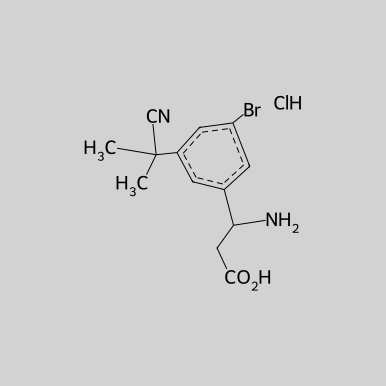 CC(C)(C#N)c1cc(Br)cc(C(N)CC(=O)O)c1.Cl